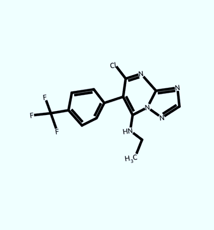 CCNc1c(-c2ccc(C(F)(F)F)cc2)c(Cl)nc2ncnn12